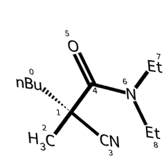 CCCC[C@@](C)(C#N)C(=O)N(CC)CC